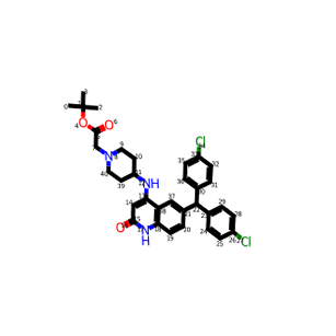 CC(C)(C)OC(=O)CN1CCC(Nc2cc(=O)[nH]c3ccc(C(c4ccc(Cl)cc4)c4ccc(Cl)cc4)cc23)CC1